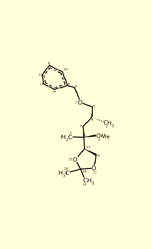 CO[C@@](C)(C[C@@H](C)COCc1ccccc1)[C@H]1COC(C)(C)O1